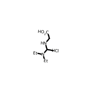 CCN(CC)C(C)NCC(=O)O.Cl